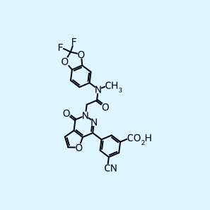 CN(C(=O)Cn1nc(-c2cc(C#N)cc(C(=O)O)c2)c2occc2c1=O)c1ccc2c(c1)OC(F)(F)O2